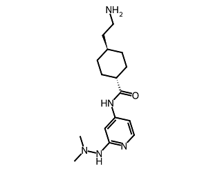 CN(C)Nc1cc(NC(=O)[C@H]2CC[C@H](CCN)CC2)ccn1